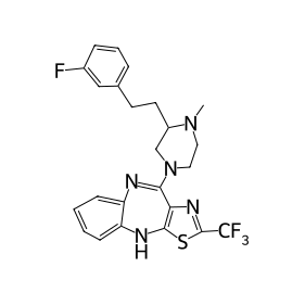 CN1CCN(C2=Nc3ccccc3Nc3sc(C(F)(F)F)nc32)CC1CCc1cccc(F)c1